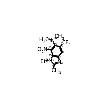 CCn1c(C)nc2cc(C(F)(F)F)c(N(C)C)c([N+](=O)[O-])c21